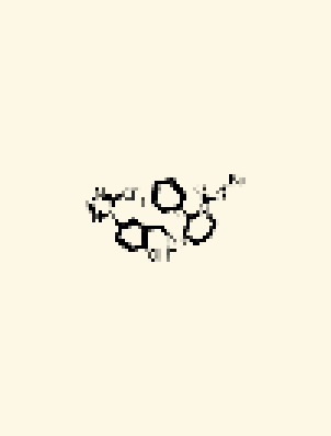 CC(C)(C)OC(=O)N1CCC[C@H](NCc2cc(-n3nnnc3C(F)(F)F)ccc2O)C1[C@@H]1C=CC=CC1